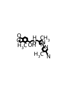 Cc1cc(-n2cc(CNC[C@H](O)c3ccc4c(c3C)COC4=O)c(C)n2)ncc1C#N